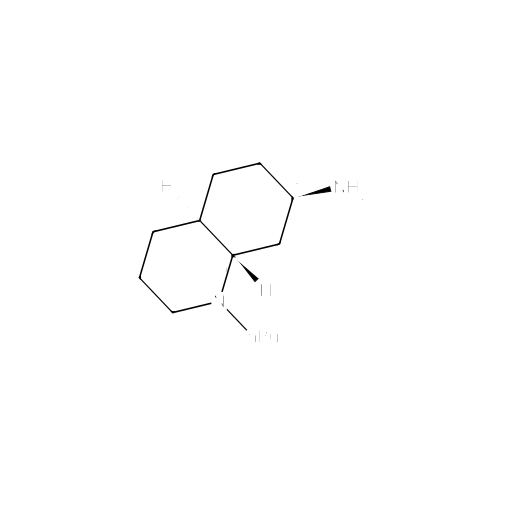 CCCCN1CCC[C@H]2CC[C@@H](N)C[C@@H]21